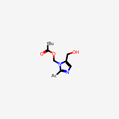 CC(=O)c1ncc(CO)n1COC(=O)C(C)(C)C